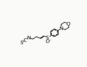 [O-][S+](C=CCCN=C=S)c1ccc(N2CCOCC2)cc1